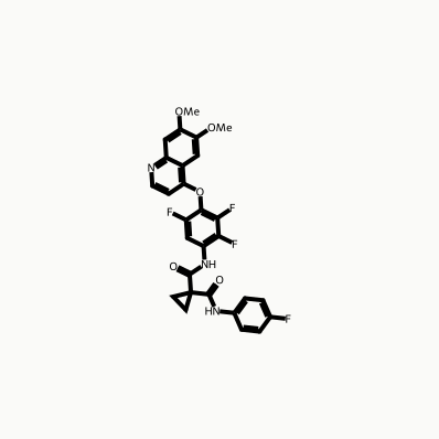 COc1cc2nccc(Oc3c(F)cc(NC(=O)C4(C(=O)Nc5ccc(F)cc5)CC4)c(F)c3F)c2cc1OC